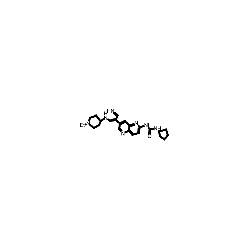 CCN1CCC(N/C=C(\C=N)c2cnc3ccc(NC(=O)NC4CCCC4)nc3c2)CC1